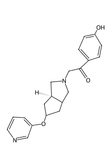 O=C(CN1CC2CC(Oc3cccnc3)C[C@H]2C1)c1ccc(O)cc1